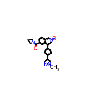 Cn1cc(-c2ccc(-c3c[n+]([O-])cc4ccc(C(=O)N5CCC5)cc34)cc2)cn1